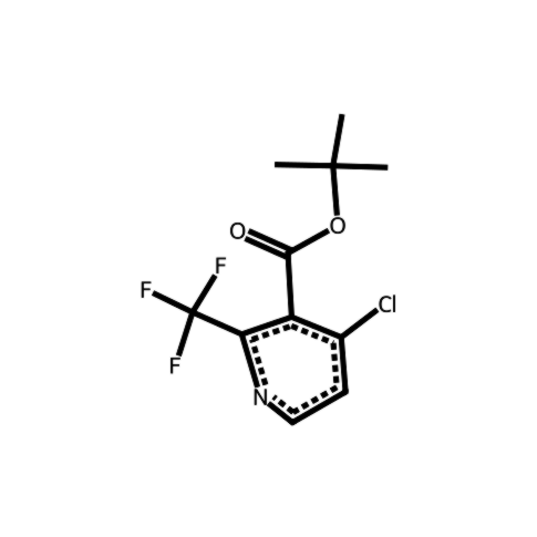 CC(C)(C)OC(=O)c1c(Cl)ccnc1C(F)(F)F